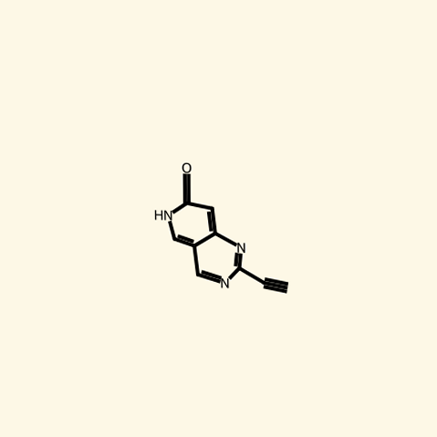 C#Cc1ncc2c[nH]c(=O)cc2n1